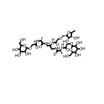 CC1O[C@H](COCC(=O)NC(CNC(=O)[C@H](C)NC(=O)COC2OC(CO)C(O)C(O)C2O)CNC(=O)[C@H](C)NC(=O)COC2OC(CO)C(O)C(O)C2O)[C@@H](O)[C@H]1O